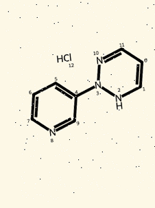 C1=CNN(c2cccnc2)N=C1.Cl